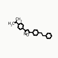 C=C(C)c1ccc(-c2cc(-c3ccc(CCc4ccccc4)cc3)on2)cc1